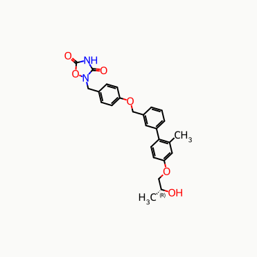 Cc1cc(OC[C@@H](C)O)ccc1-c1cccc(COc2ccc(Cn3oc(=O)[nH]c3=O)cc2)c1